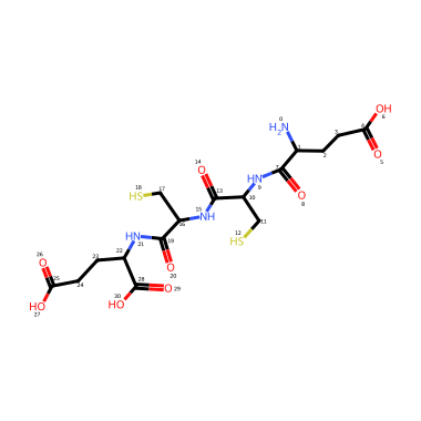 NC(CCC(=O)O)C(=O)NC(CS)C(=O)NC(CS)C(=O)NC(CCC(=O)O)C(=O)O